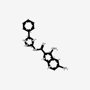 Nc1cnc2sc(C(=O)Nc3nnc(-c4ccccc4)s3)c(N)c2c1